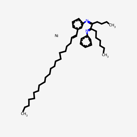 CCCCCCCCCCCCCCCCCCCC=Cc1cccc(N=C(CCCC)C(CCCCCC)=Nc2ccccc2)c1.[Ni]